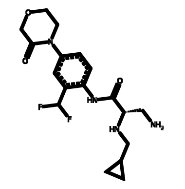 NC[C@H](NCC1CC1)C(=O)Nc1ccc(N2CCOCC2=O)cc1C(F)F